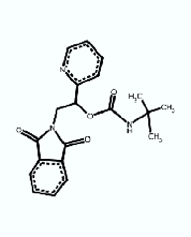 CC(C)(C)NC(=O)OC(CN1C(=O)c2ccccc2C1=O)c1ccccn1